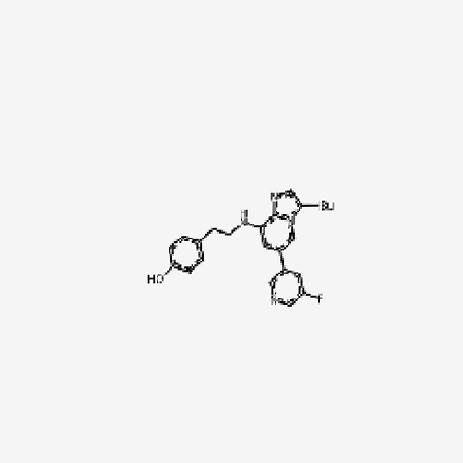 CCC(C)c1cnc2c(NCCc3ccc(O)cc3)cc(-c3cncc(F)c3)cn12